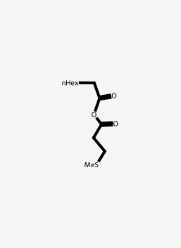 CCCCCCCC(=O)OC(=O)CCSC